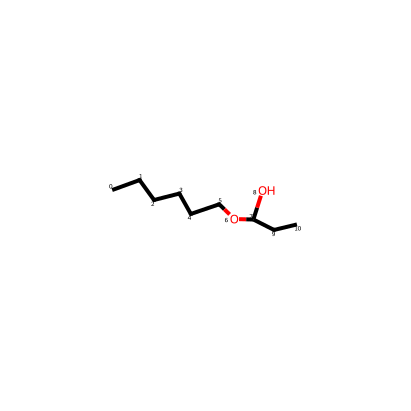 CCCCCCOC(O)CC